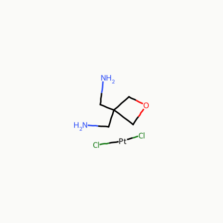 NCC1(CN)COC1.[Cl][Pt][Cl]